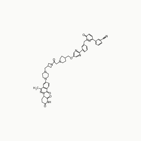 Cc1nn(C2CCC(=O)NC2=O)c(=O)c2ccc(N3CCN(CC4CN(C(=O)CN5CCC(COc6cnc(-c7cccc(Cn8nc(-c9cccc(C#N)c9)ccc8=O)c7)nc6)CC5)C4)CC3)cc12